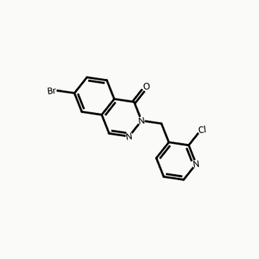 O=c1c2ccc(Br)cc2cnn1Cc1cccnc1Cl